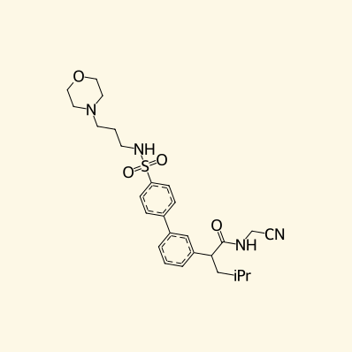 CC(C)CC(C(=O)NCC#N)c1cccc(-c2ccc(S(=O)(=O)NCCCN3CCOCC3)cc2)c1